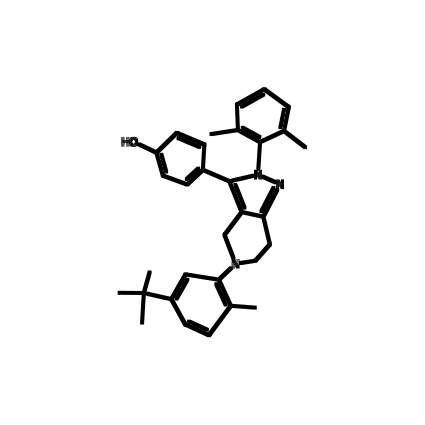 Cc1ccc(C(C)(C)C)cc1N1CCc2nn(-c3c(C)cccc3C)c(-c3ccc(O)cc3)c2C1